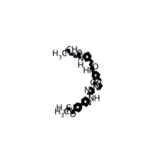 CN(C)C/C=C/C(=O)Nc1cccc(CCC(=O)Nc2ccc(CN3CCN(c4cncc(Nc5ccc(-c6ccc(C(=O)N(C)C)cc6)cn5)c4)C3=O)cc2)c1